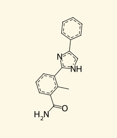 Cc1c(C(N)=O)cccc1-c1nc(-c2ccccc2)c[nH]1